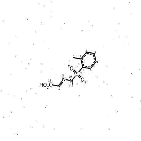 Cc1ccccc1S(=O)(=O)NN=CC(=O)O